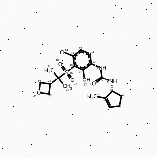 CC1=CCC[C@H]1NC(=O)Nc1ccc(Cl)c(S(=O)(=O)C(C)(C)C2COC2)c1O